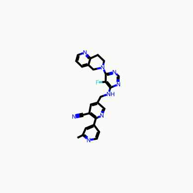 Cc1cc(-c2ncc(CNc3ncnc(N4CCc5ncccc5C4)c3F)cc2C#N)ccn1